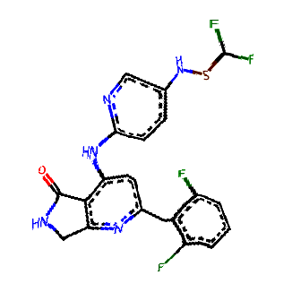 O=C1NCc2nc(-c3c(F)cccc3F)cc(Nc3ccc(NSC(F)F)cn3)c21